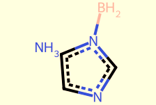 Bn1ccnc1.N